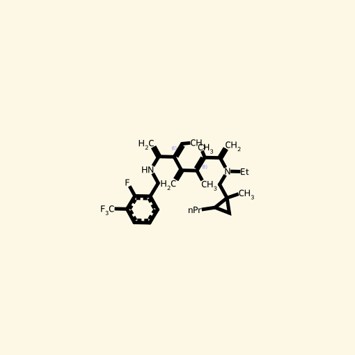 C=C(NCc1cccc(C(F)(F)F)c1F)/C(=C/C)C(=C)/C(C)=C(\C)C(=C)N(CC)CC1(C)CC1CCC